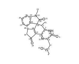 CC1c2[nH]c(=O)c(C[S+](C)[O-])nc2C2=C(CCC2=O)C12C(=O)N(C)c1ccccc12